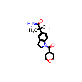 CC(C)(C(N)=O)c1ccc2c(c1)CCN2C(=O)C1CCOCC1